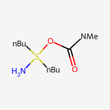 CCCCS(N)(CCCC)OC(=O)NC